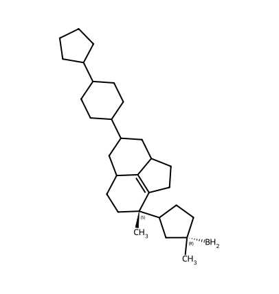 B[C@@]1(C)CCC([C@]2(C)CCC3CC(C4CCC(C5CCCC5)CC4)CC4CCC2=C43)C1